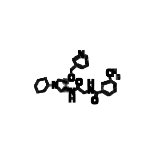 O=C(CNC(=O)c1cccc(C(F)(F)F)c1)N[C@H]1CN(C2CCCCC2)C[C@@H]1OCc1cccnc1